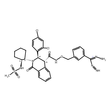 CS(=O)(=O)N[C@H]1CCCC[C@@H]1N1C(=O)c2ccccc2[C@@H](C(=O)NOCc2cccc(/C(N=N)=N/N)c2)[C@@H]1c1ccc(Cl)cc1Cl